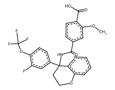 COc1cc(C(=O)NC2(c3ccc(OC(F)(F)F)c(F)c3)CCOc3cccnc32)ccc1C(=O)O